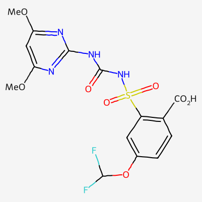 COc1cc(OC)nc(NC(=O)NS(=O)(=O)c2cc(OC(F)F)ccc2C(=O)O)n1